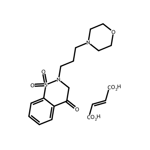 O=C(O)C=CC(=O)O.O=C1CN(CCCN2CCOCC2)S(=O)(=O)c2ccccc21